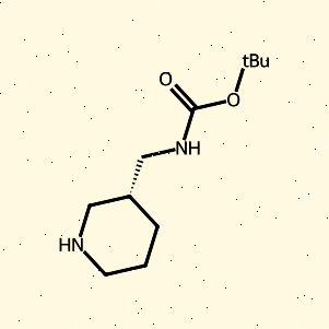 CC(C)(C)OC(=O)NC[C@@H]1CCCNC1